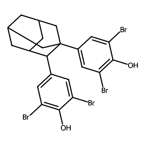 Oc1c(Br)cc(C2C3CC4CC(C3)CC2(c2cc(Br)c(O)c(Br)c2)C4)cc1Br